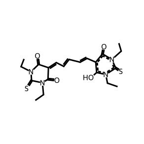 CCN1C(=O)C(=C/C=C/C=C/c2c(O)n(CC)c(=S)n(CC)c2=O)C(=O)N(CC)C1=S